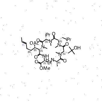 C/C=C/C[C@@H](C)[C@@H](OC(C)=O)[C@@H](C(=O)N[C@@H](CC)C(=O)OC)N(C)C(=O)[C@H](C(C)C)N(C)C(=O)[C@H](CC(C)C)N(C)C(=O)[C@H](CC(C)(C)O)N(C)C(=O)[C@@H](C)N